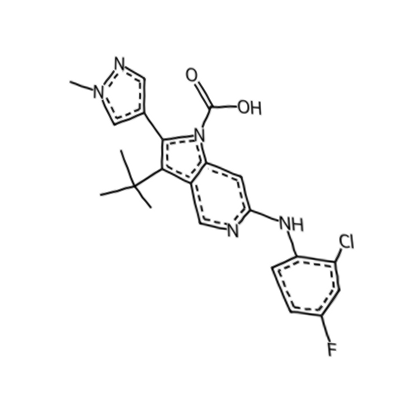 Cn1cc(-c2c(C(C)(C)C)c3cnc(Nc4ccc(F)cc4Cl)cc3n2C(=O)O)cn1